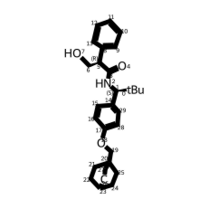 CC(C)(C)[C@H](NC(=O)[C@@H](CO)c1ccccc1)c1ccc(OCC23CCC(CC2)CC3)cc1